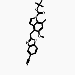 COc1cc(C)c2c(ccn2C(=O)OC(C)(C)C)c1Cc1nc2cc(C#N)ccc2o1